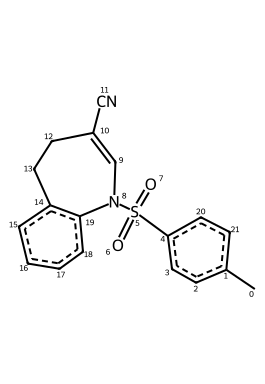 Cc1ccc(S(=O)(=O)N2C=C(C#N)CCc3ccccc32)cc1